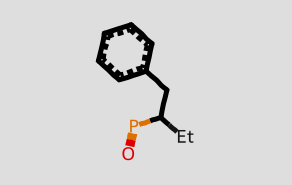 CCC(Cc1ccccc1)P=O